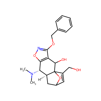 CN(C)[C@@H]1c2onc(OCc3ccccc3)c2C(O)C23OC(C=C2CO)C[C@@H]13